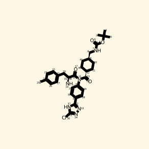 CC(C)(C)OC(=O)NC[C@H]1CC[C@H](C(=O)N(C(=O)[C@@H](N)Cc2ccc(I)cc2)c2ccc(-c3nnc(Cl)[nH]3)cc2)CC1